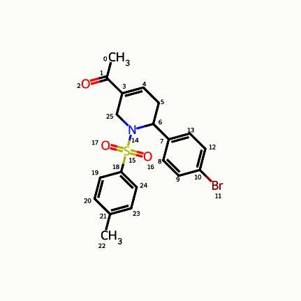 CC(=O)C1=CCC(c2ccc(Br)cc2)N(S(=O)(=O)c2ccc(C)cc2)C1